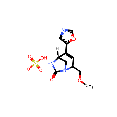 COCC1C=C(c2cnco2)[C@@H]2CN1C(=O)N2.O=S(=O)(O)O